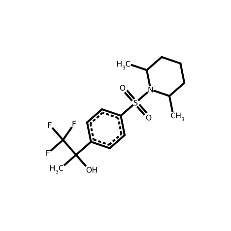 CC1CCCC(C)N1S(=O)(=O)c1ccc(C(C)(O)C(F)(F)F)cc1